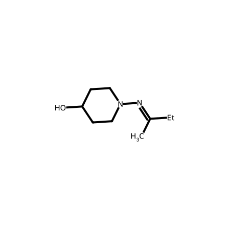 CC/C(C)=N/N1CCC(O)CC1